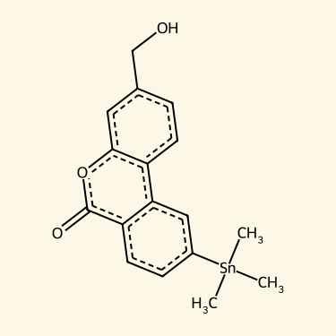 [CH3][Sn]([CH3])([CH3])[c]1ccc2c(=O)oc3cc(CO)ccc3c2c1